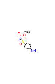 CN(C(=O)OC(C)(C)C)S(=O)(=O)c1ccc(N)cc1